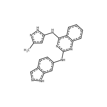 Cc1cc(Nc2nc(Nc3ccc4cn[nH]c4c3)nc3ccccc23)[nH]n1